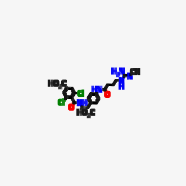 N#C/N=C(\N)NCCCC(=O)Nc1ccc(C[C@H](NC(=O)c2c(Cl)cc(C(=O)O)cc2Cl)C(=O)O)cc1